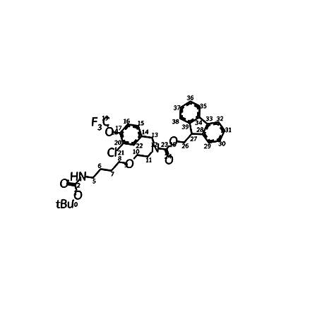 CC(C)(C)OC(=O)NCCCCOCCN(Cc1ccc(OC(F)(F)F)c(Cl)c1)C(=O)OCC1c2ccccc2-c2ccccc21